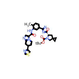 Cc1ccc(-c2noc([C@@H]3CC4(CC4)CN3C(=O)OC(C)(C)C)n2)cc1NC(=O)c1cnc2cc(-c3cscn3)ccn12